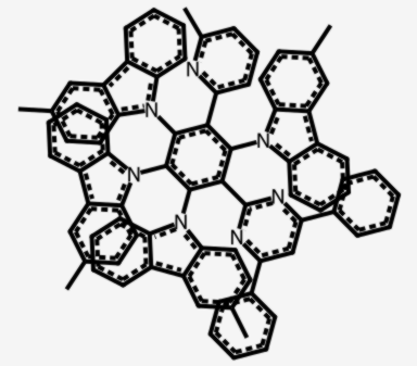 Cc1ccc2c(c1)c1ccccc1n2-c1c(-c2cccc(C)n2)c(-n2c3ccccc3c3cc(C)ccc32)c(-n2c3ccccc3c3cc(C)ccc32)c(-n2c3ccccc3c3cc(C)ccc32)c1-c1nc(-c2ccccc2)cc(-c2ccccc2)n1